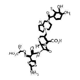 CC[C@H](O/N=C(\C(=O)N[C@@H]1C(=O)N2C(C(=O)O)=C(C[N@+]34CCC[C@H]3CN(C(=O)c3ccc(O)c(O)c3F)CC4)CS[C@H]12)c1csc(N)n1)C(=O)O